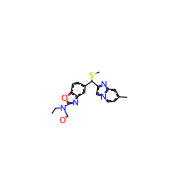 CCN(C=O)c1nc2cc(C(SC)c3cn4ccc(C)cc4n3)ccc2o1